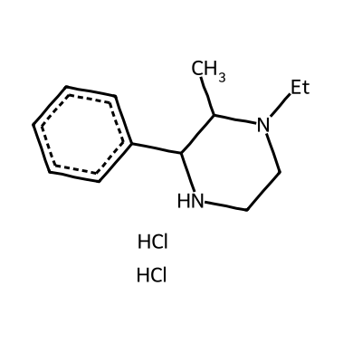 CCN1CCNC(c2ccccc2)C1C.Cl.Cl